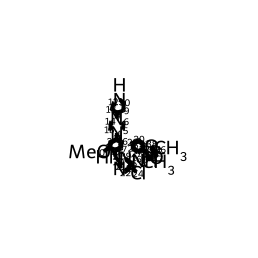 COc1cc(N2CCN(C3CCNCC3)CC2)ccc1Nc1ncc(Cl)c(Nc2ccccc2N(C)S(C)(=O)=O)n1